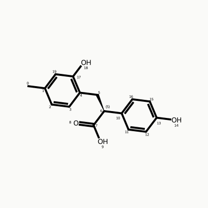 Cc1ccc(C[C@H](C(=O)O)c2ccc(O)cc2)c(O)c1